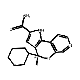 C[C@]1(C2CCCCC2)Oc2cnccc2-c2[nH]c(C(N)=O)cc21